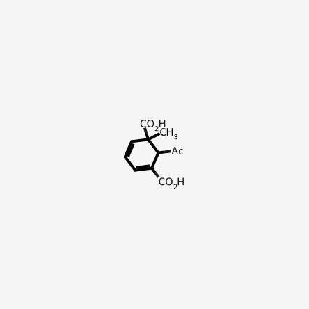 CC(=O)C1C(C(=O)O)=CC=CC1(C)C(=O)O